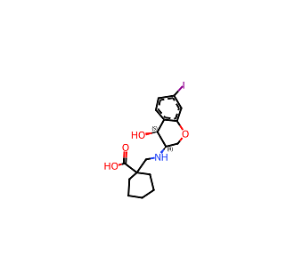 O=C(O)C1(CN[C@@H]2COc3cc(I)ccc3[C@@H]2O)CCCCC1